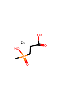 CP(=O)(O)CCC(=O)O.[Zn]